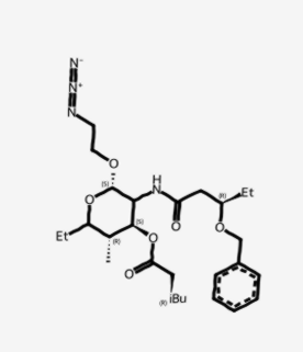 CCC1O[C@H](OCCN=[N+]=[N-])C(NC(=O)C[C@@H](CC)OCc2ccccc2)[C@@H](OC(=O)C[C@H](C)CC)[C@@H]1C